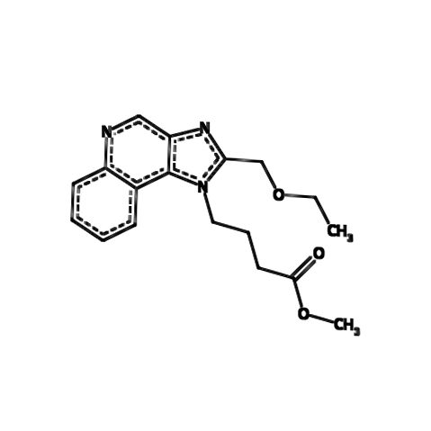 CCOCc1nc2cnc3ccccc3c2n1CCCC(=O)OC